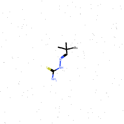 CCC(C)C(C)(C)C=NNC(N)=S